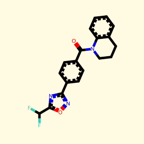 O=C(c1ccc(-c2noc(C(F)F)n2)cc1)N1CCCc2ccccc21